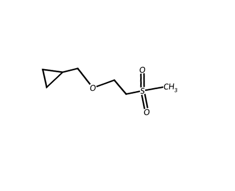 CS(=O)(=O)CCOCC1CC1